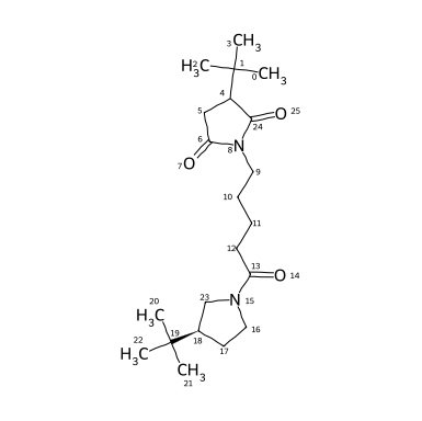 CC(C)(C)C1CC(=O)N(CCCCC(=O)N2CC[C@@H](C(C)(C)C)C2)C1=O